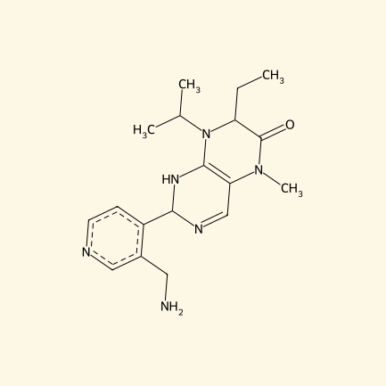 CCC1C(=O)N(C)C2=C(NC(c3ccncc3CN)N=C2)N1C(C)C